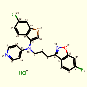 Cl.Fc1ccc2c(CCCN(c3ccncc3)c3csc4cc(Cl)ccc34)noc2c1